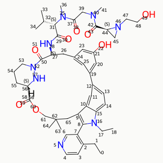 CCc1ccncc1-c1c2c3cc(ccc3n1CC)-c1cc(O)cc(c1)C[C@H](NC(=O)[C@H](C(C)C)N(C)C(=O)CN(C)C(=O)[C@@H]1CN1CCO)C(=O)N1CCC[C@H](N1)C(=O)OCC(C)(C)C2